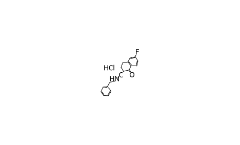 Cl.O=C1c2ccc(F)cc2CCC1CNCCc1ccccc1